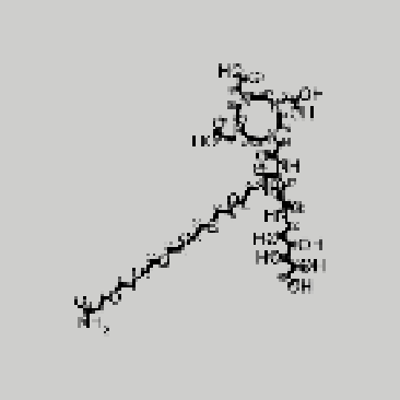 NC(=O)CCOCCOCCOCCOCCOCCOCCNC(=O)[C@@H](CCC(=O)NC[C@H](O)[C@@H](O)[C@H](O)[C@H](O)CO)NC(=O)CN1CCN(CC(=O)O)CCN(CC(=O)O)CCN(CC(O)O)CC1